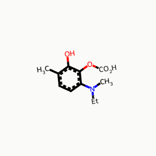 CCN(C)c1ccc(C)c(O)c1OC(=O)O